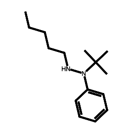 CCCCCNN(c1ccccc1)C(C)(C)C